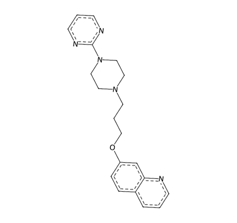 c1cnc(N2CCN(CCCOc3ccc4cccnc4c3)CC2)nc1